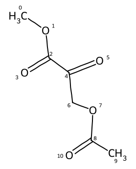 COC(=O)C(=O)COC(C)=O